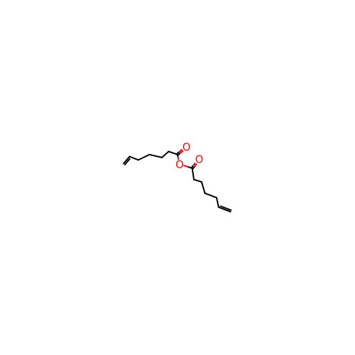 C=CCCCCC(=O)OC(=O)CCCCC=C